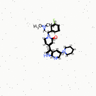 CN(C)C[C@H](c1cccc(F)c1)n1ccc(-c2c[nH]c3ncc(N4CCCCC4)cc23)cc1=O